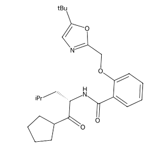 CC(C)C[C@H](NC(=O)c1ccccc1OCc1ncc(C(C)(C)C)o1)C(=O)C1CCCC1